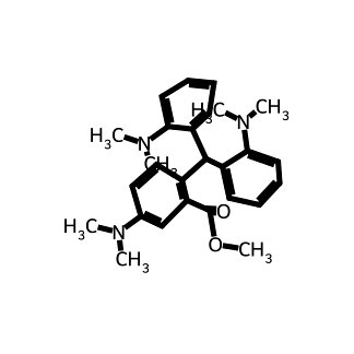 COC(=O)c1cc(N(C)C)ccc1C(c1ccccc1N(C)C)c1ccccc1N(C)C